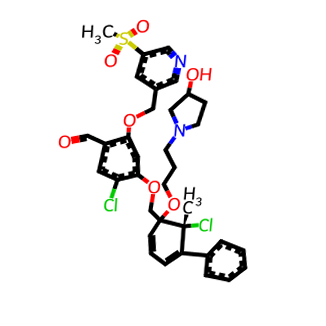 C[C@@]1(Cl)C(c2ccccc2)=CC=CC1(COc1cc(OCc2cncc(S(C)(=O)=O)c2)c(C=O)cc1Cl)OCCCN1CCC(O)C1